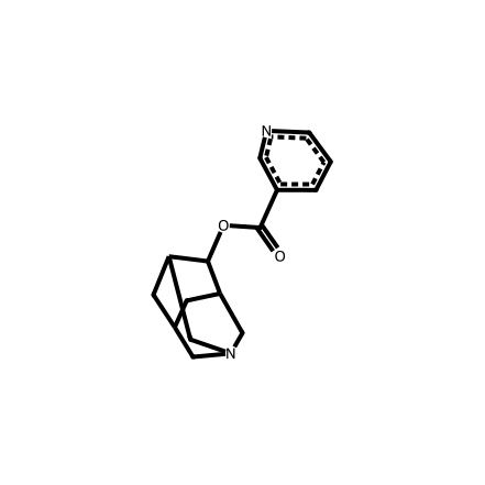 O=C(OC1C2CC3CC1CN(C3)C2)c1cccnc1